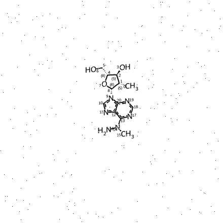 C[C@H]1[C@H](O)[C@@H](CO)O[C@H]1n1cnc2c(N(C)N)ncnc21